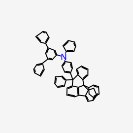 C1=CCC(C23c4ccccc4C(c4ccccc4)(c4ccc(N(c5ccccc5)c5cc(-c6ccccc6)cc(-c6ccccc6)c5)cc4)c4cccc(c42)C2=CC=CCC23)C=C1